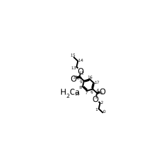 CCCOC(=O)c1ccc(C(=O)OCCC)cc1.[CaH2]